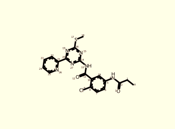 CCC(=O)Nc1ccc(Cl)c(C(=O)Nc2nc(SC)nc(-c3ccccn3)n2)c1